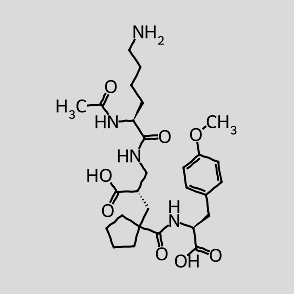 COc1ccc(C[C@H](NC(=O)C2(C[C@@H](CNC(=O)[C@H](CCCCN)NC(C)=O)C(=O)O)CCCC2)C(=O)O)cc1